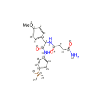 COc1ccc(C(NC(=O)CCC(N)=O)C(=O)Nc2ccc(S(C)(C)C)cc2)cc1